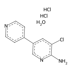 Cl.Cl.Nc1ncc(-c2ccncc2)cc1Cl.O